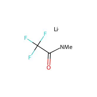 CNC(=O)C(F)(F)F.[Li]